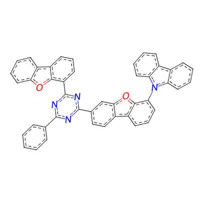 c1ccc(-c2nc(-c3ccc4c(c3)oc3c(-n5c6ccccc6c6ccccc65)cccc34)nc(-c3cccc4c3oc3ccccc34)n2)cc1